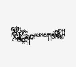 COc1cccc(Nc2c(C(N)=O)cnc3c(C)cc(S(=O)(=O)c4cccc(C(=O)Nc5ccc(CCOCCCCCCNC[C@H](O)c6ccc(O)c7[nH]c(=O)ccc67)cc5)c4)cc23)c1